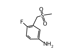 CS(=O)(=O)Cc1cc(N)ccc1F